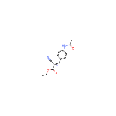 CCOC(=O)/C(C#N)=C/c1ccc(NC(C)=O)cc1